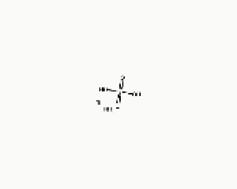 N.O=S(=O)(O)O.[Ti]